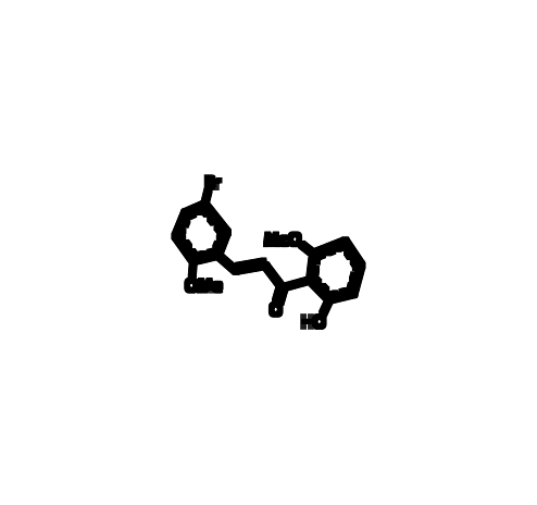 COc1ccc(Br)cc1/C=C/C(=O)c1c(O)cccc1OC